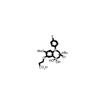 CCCC[C@@]1(CC)CN(c2ccc(F)cc2)c2cc(SC)c(OCCC(=O)O)cc2S(O)(O)C1